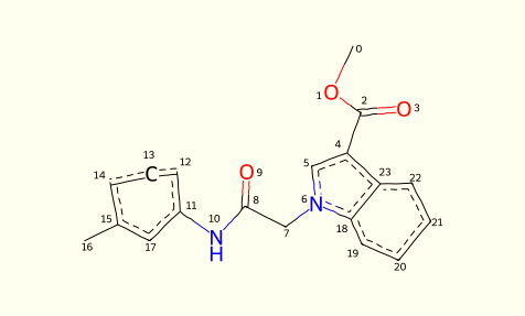 COC(=O)c1cn(CC(=O)Nc2cccc(C)c2)c2ccccc12